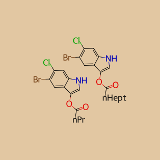 CCCC(=O)Oc1c[nH]c2cc(Cl)c(Br)cc12.CCCCCCCC(=O)Oc1c[nH]c2cc(Cl)c(Br)cc12